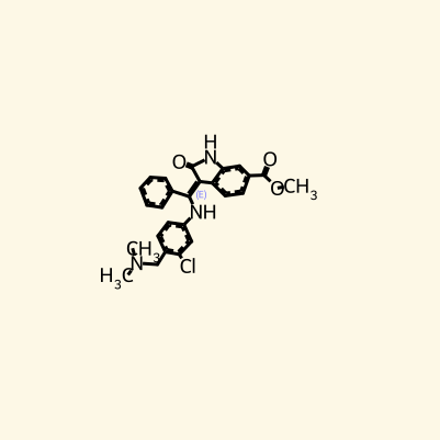 COC(=O)c1ccc2c(c1)NC(=O)/C2=C(/Nc1ccc(CN(C)C)c(Cl)c1)c1ccccc1